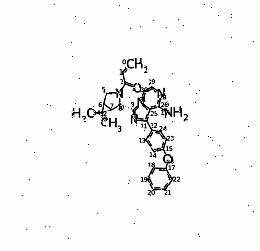 C=CC(=O)N1CC2C([C@H]1c1nc(-c3ccc(Oc4ccccc4)cc3)c3c(N)nccn13)C2(C)C